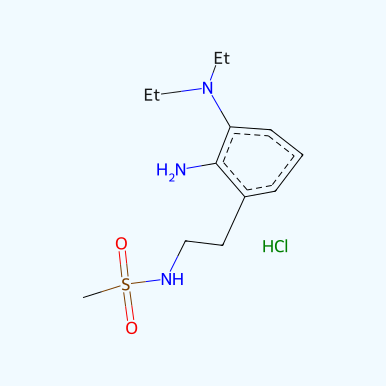 CCN(CC)c1cccc(CCNS(C)(=O)=O)c1N.Cl